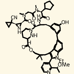 CCn1c(-c2cccnc2[C@H](C)OC)c2c3cc(ccc31)-c1cc(O)cc(c1)C[C@H](NC(=O)[C@H](C1CCCC1)N(C)C(=O)CN(C)C(=O)[C@H]1N[C@H]1C1(C#N)CC1)C(=O)N1CCC[C@H](N1)C(=O)OCC(C)(C)C2